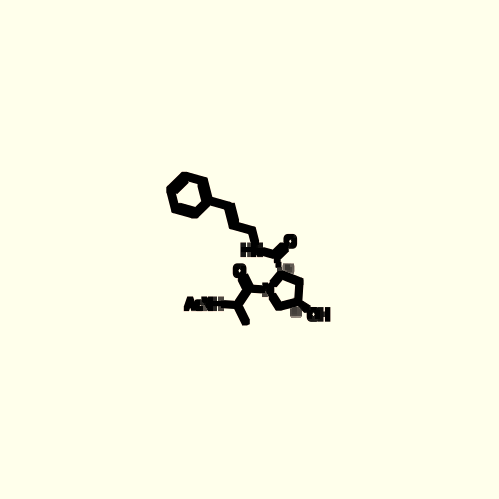 CC(=O)NC(C)C(=O)N1C[C@H](O)C[C@H]1C(=O)NCC=Cc1ccccc1